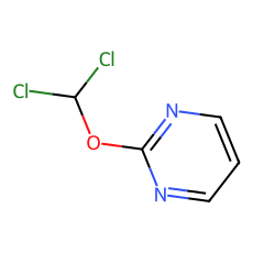 ClC(Cl)Oc1ncccn1